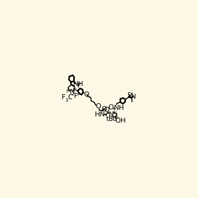 Cc1ncsc1-c1ccc(CNC(=O)[C@@H]2C[C@@H](O)CN2C(=O)C(NC(=O)COCCCCCOc2cc(F)c([C@@H]3c4[nH]c5ccccc5c4C[C@@H](C)N3CC(F)(F)F)c(F)c2)C(C)(C)C)cc1